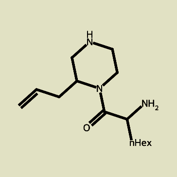 C=CCC1CNCCN1C(=O)C(N)CCCCCC